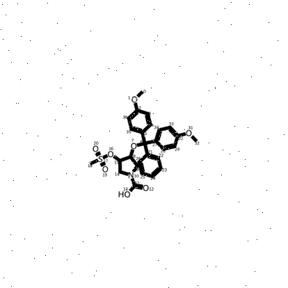 COc1ccc(C(OC2CN(C(=O)O)CC2OS(C)(=O)=O)(c2ccccc2)c2ccc(OC)cc2)cc1